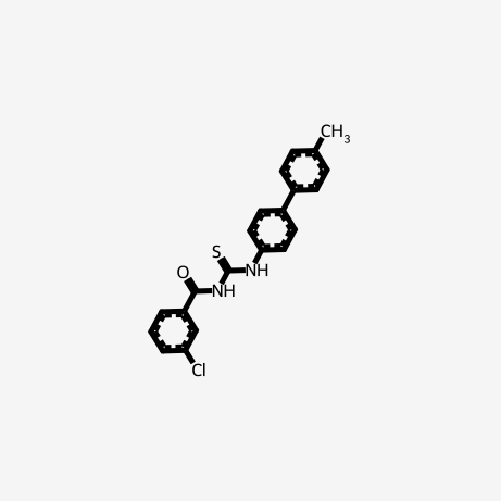 Cc1ccc(-c2ccc(NC(=S)NC(=O)c3cccc(Cl)c3)cc2)cc1